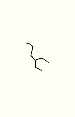 CCCC(CC)CC